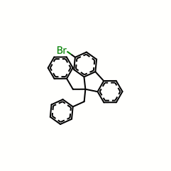 Brc1ccc2c(c1)C(Cc1ccccc1)(Cc1ccccc1)c1ccccc1-2